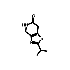 CC(C)c1nc2c(s1)CC(=O)NC2